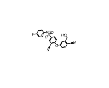 N#Cc1ccc(Oc2ccc(S(=O)(=O)Nc3ccc(F)cn3)cc2C#N)cc1CO